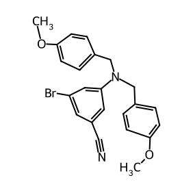 COc1ccc(CN(Cc2ccc(OC)cc2)c2cc(Br)cc(C#N)c2)cc1